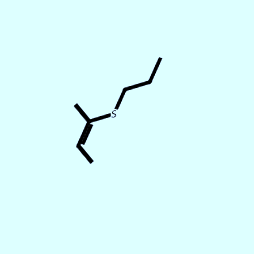 CC=C(C)SCCC